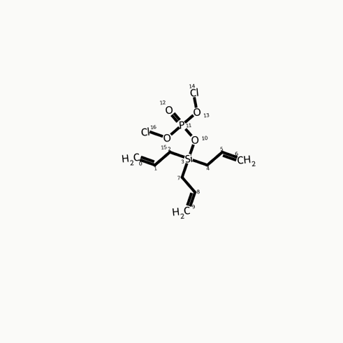 C=CC[Si](CC=C)(CC=C)OP(=O)(OCl)OCl